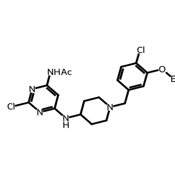 CCOc1cc(CN2CCC(Nc3cc(NC(C)=O)nc(Cl)n3)CC2)ccc1Cl